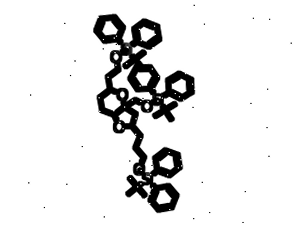 CC(C)(C)[Si](OCCCC1CC2(CO[Si](c3ccccc3)(c3ccccc3)C(C)(C)C)OC(CCO[Si](c3ccccc3)(c3ccccc3)C(C)(C)C)CCC2O1)(c1ccccc1)c1ccccc1